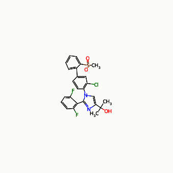 CC(C)(O)c1cn(-c2ccc(-c3ccccc3S(C)(=O)=O)cc2Cl)c(-c2c(F)cccc2F)n1